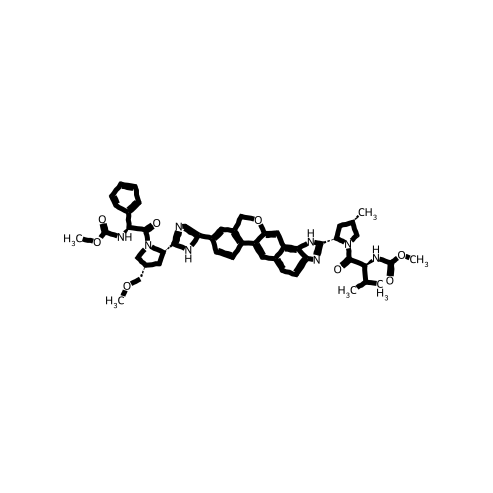 COC[C@H]1C[C@@H](c2ncc(-c3ccc4c(c3)COc3cc5c(ccc6nc([C@@H]7C[C@H](C)CN7C(=O)[C@@H](NC(=O)OC)C(C)C)[nH]c65)cc3-4)[nH]2)N(C(=O)[C@@H](NC(=O)OC)c2ccccc2)C1